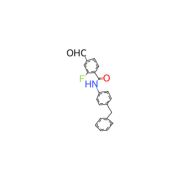 O=Cc1ccc(C(=O)Nc2ccc(Cc3ccccc3)cc2)c(F)c1